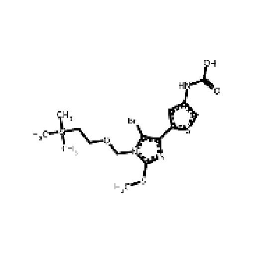 CSc1nc(-c2cc(NC(=O)O)cs2)c(Br)n1COCC[Si](C)(C)C